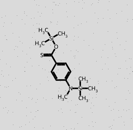 CN(c1ccc(C(=S)O[Si](C)(C)C)cc1)[Si](C)(C)C